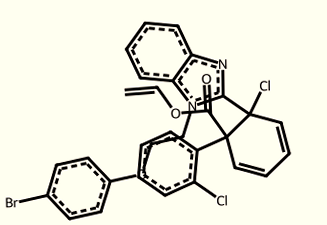 C=COC(=O)C1(c2ccccc2Cl)C=CC=CC1(Cl)c1nc2ccccc2n1CCOc1ccc(Br)cc1